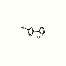 Cn1cccc1-c1nnc(S)s1